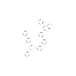 c1ccc(-c2ccc(-c3nc(-c4ccccc4)nc(-c4cccc(-c5cccc(-c6cccc(-c7nc8cnccc8c8c7sc7ccccc78)c6)c5)c4)n3)cc2)cc1